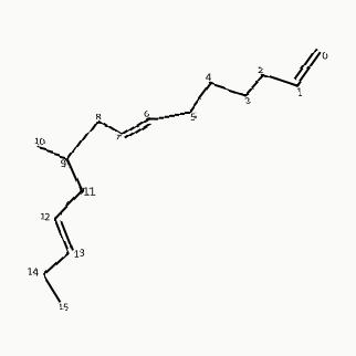 C=CCCCCC=CCC(C)CC=CCC